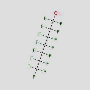 OC(F)(F)C(F)(F)C(F)(F)C(F)(F)C(F)(F)C(F)(F)C(F)(F)F